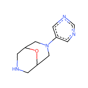 c1ncc(N2CC3CNCC(C2)O3)cn1